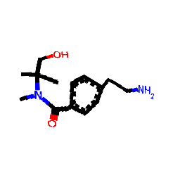 CN(C(=O)c1ccc(CCN)cc1)C(C)(C)CO